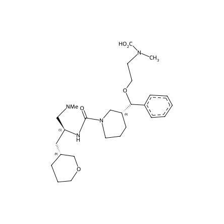 CNC[C@H](C[C@H]1CCCOC1)NC(=O)N1CCC[C@@H](C(OCCN(C)C(=O)O)c2ccccc2)C1